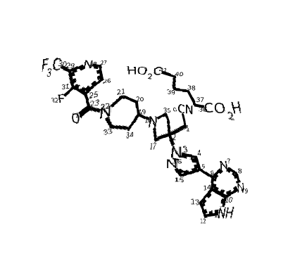 N#CCC1(n2cc(-c3ncnc4[nH]ccc34)cn2)CN(C2CCN(C(=O)c3ccnc(C(F)(F)F)c3F)CC2)C1.O=C(O)CCCCC(=O)O